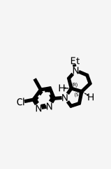 CCN1CC[C@H]2CCN(c3cc(C)c(Cl)nn3)[C@H]2C1